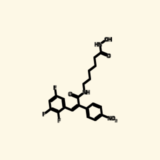 O=C(CCCCCNC(=O)C(=Cc1cc(F)cc(F)c1F)c1ccc([N+](=O)[O-])cc1)NO